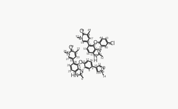 Cc1nc2c(Oc3ccc(-c4cnn(C)c4)cc3)c(-c3cc(C)c(=O)n(C)c3)ccc2[nH]1.Cc1nc2c(Oc3ccc(Cl)cc3)c(-c3cc(C)c(=O)n(C)c3)ccc2[nH]1